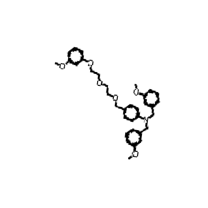 COc1cccc(CN(Cc2cccc(OC)c2)c2ccc(COCCOCCOc3cccc(OC)c3)cc2)c1